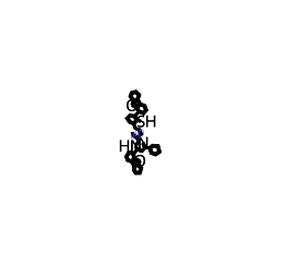 C/C=C(\C=C/Cc1cccc(-c2cccc3c2oc2ccccc23)c1S)C1N=C(c2ccccc2)C=C(c2cccc3c2oc2ccccc23)N1